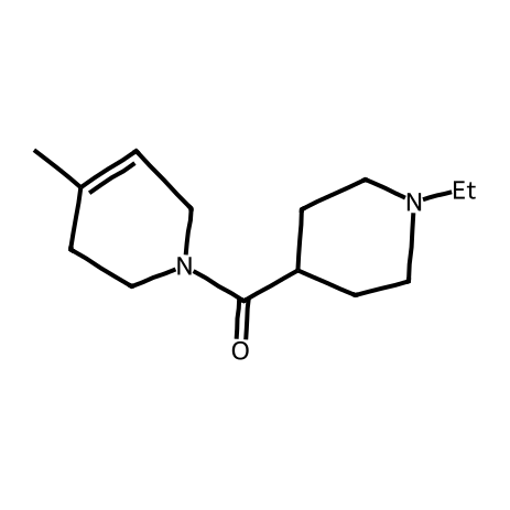 CCN1CCC(C(=O)N2CC=C(C)CC2)CC1